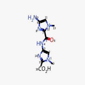 Cn1cc(NC(=O)c2nc(N)cn2C)nc1C(=O)O